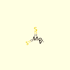 [S]=[Mo]=[S].[V]